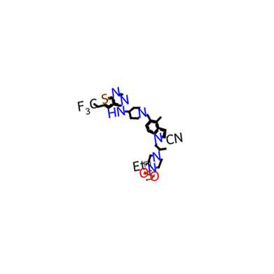 CC[C@@H]1CN(C(C)Cn2c(C#N)cc3c(C)c(CN4CCC(Nc5ncnc6sc(CC(F)(F)F)cc56)CC4)ccc32)CCN1S(C)(=O)=O